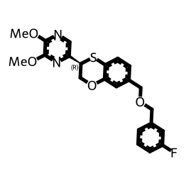 COc1ncc([C@@H]2COc3cc(COCc4cccc(F)c4)ccc3S2)nc1OC